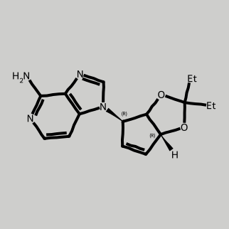 CCC1(CC)OC2[C@H](n3cnc4c(N)nccc43)C=C[C@H]2O1